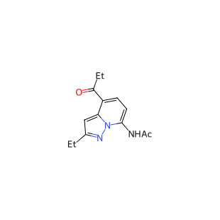 CCC(=O)c1ccc(NC(C)=O)n2nc(CC)cc12